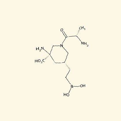 C[C@H](N)C(=O)N1C[C@H](CCB(O)O)C[C@](N)(C(=O)O)C1